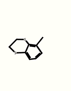 Cc1cccc2c1SCCS2